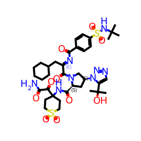 CC(C)(C)NS(=O)(=O)c1ccc(C(=O)/N=C(\CC2CCCCC2)C(=O)N2C[C@@H](n3nncc3C(C)(C)O)C[C@H]2C(=O)NC2(C(=O)C(N)=O)CCS(=O)(=O)CC2)cc1